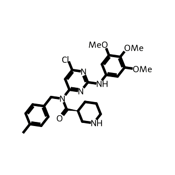 COc1cc(Nc2nc(Cl)cc(N(Cc3ccc(C)cc3)C(=O)[C@H]3CCCNC3)n2)cc(OC)c1OC